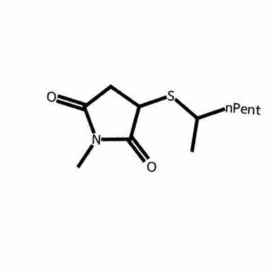 CCCCCC(C)SC1CC(=O)N(C)C1=O